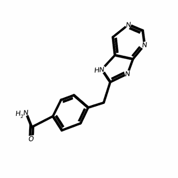 NC(=O)c1ccc(Cc2nc3ncncc3[nH]2)cc1